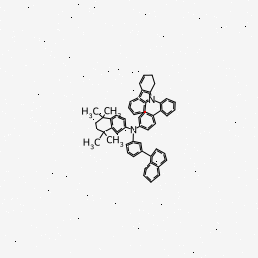 CC1(C)CCC(C)(C)c2cc(N(c3ccc(-c4ccccc4-n4c5c(c6ccccc64)C=CCC5)cc3)c3cccc(-c4cccc5ccccc45)c3)ccc21